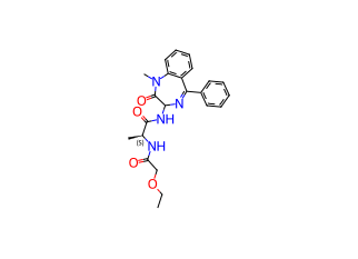 CCOCC(=O)N[C@@H](C)C(=O)NC1N=C(c2ccccc2)c2ccccc2N(C)C1=O